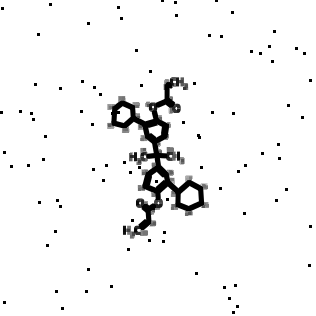 C=CC(=O)Oc1ccc(C(C)(C)c2ccc(OC(=O)C=C)c(C3CCCCC3)c2)cc1C1CCCCC1